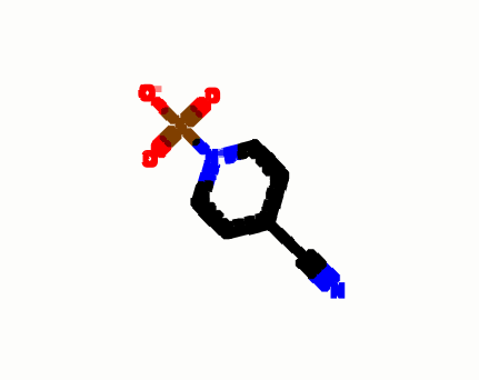 N#Cc1cc[n+](S(=O)(=O)[O-])cc1